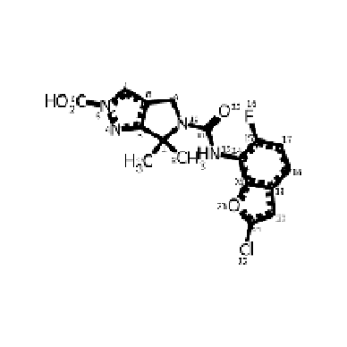 CC1(C)c2nn(C(=O)O)cc2CN1C(=O)Nc1c(F)ccc2cc(Cl)oc12